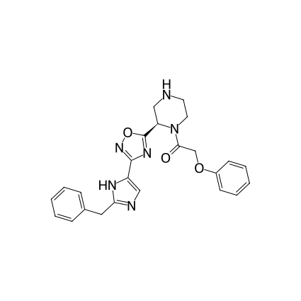 O=C(COc1ccccc1)N1CCNC[C@@H]1c1nc(-c2cnc(Cc3ccccc3)[nH]2)no1